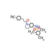 Cc1cc(C)c(S(=O)(=O)Nc2ccc3c(c2)CCCN3C(=O)CCc2ccc(C#N)cc2)c(C)c1